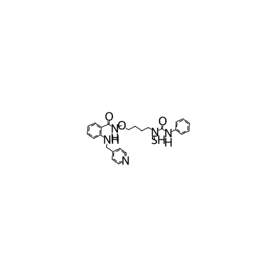 O=C(NOCCCCN(S)C(=O)Nc1ccccc1)c1ccccc1NCc1ccncc1